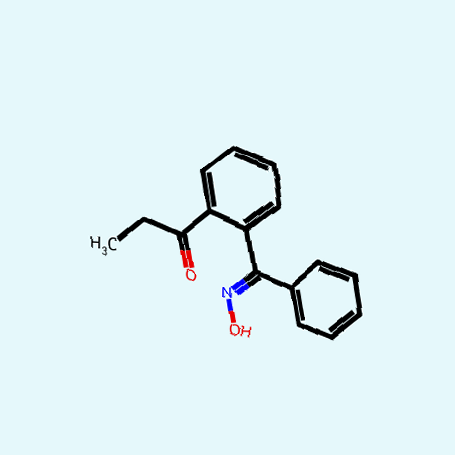 CCC(=O)c1ccccc1C(=NO)c1ccccc1